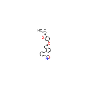 O=C(O)C[C@@H]1COc2cc(O[C@@H]3CCc4c(-c5ccccc5-c5cocn5)cccc43)ccc21